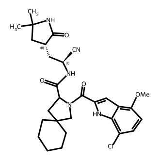 COc1ccc(Cl)c2[nH]c(C(=O)N3CC4(CCCCC4)CC3C(=O)N[C@H](C#N)C[C@@H]3CC(C)(C)NC3=O)cc12